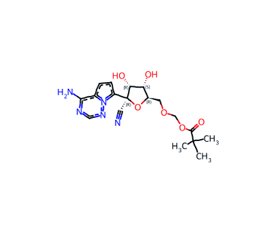 CC(C)(C)C(=O)OCOC[C@H]1O[C@@](C#N)(c2ccc3c(N)ncnn23)[C@H](O)[C@@H]1O